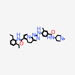 CCc1cccc(CC)c1NC(=O)c1ccn2c1CCc1cnc(Nc3ccc(C(=O)NC4CCN(C)CC4)cc3C)nc1-2